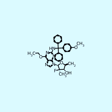 C=C1O[C@H](n2cnc3c(OCC)nc(NC(c4ccccc4)(c4ccccc4)c4ccc(OC)cc4)nc32)[C@](C)(F)[C@@H]1O